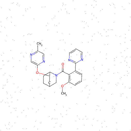 COc1cccc(-c2ncccn2)c1C(=O)N1CC2CCC1C(Oc1cnc(C)cn1)C2